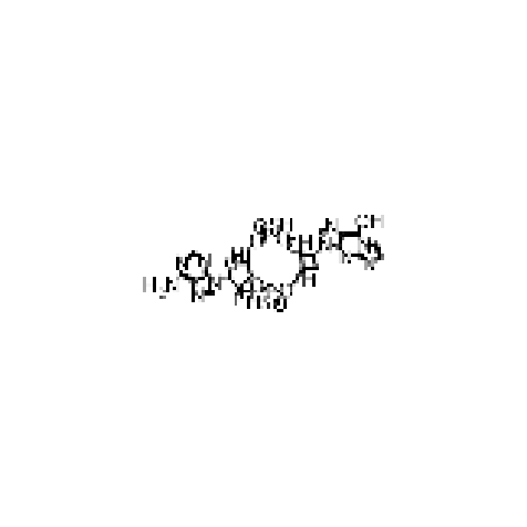 Nc1ncnc2c1ncn2[C@@H]1O[C@@H]2CO[P@](=O)(S)OC[C@@H]3[C@@H](CO[P@](=O)(S)O[C@H]2[C@H]1F)C[C@H]3n1cnc2c(O)n3ccnc3nc21